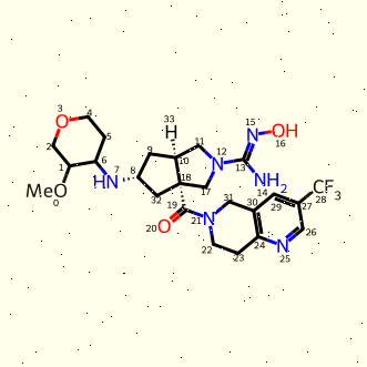 COC1COCCC1N[C@@H]1C[C@H]2CN(/C(N)=N/O)C[C@@]2(C(=O)N2CCc3ncc(C(F)(F)F)cc3C2)C1